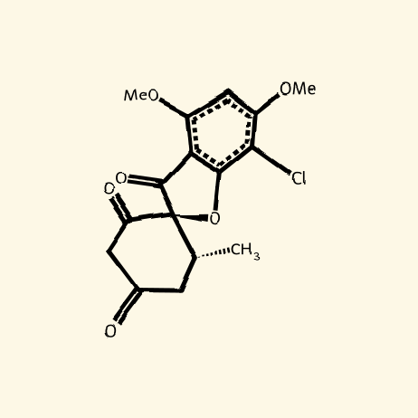 COc1cc(OC)c2c(c1Cl)O[C@@]1(C(=O)CC(=O)C[C@H]1C)C2=O